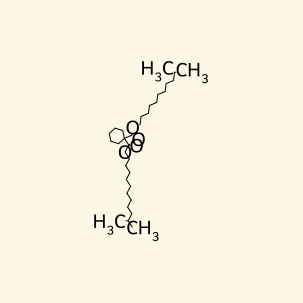 CC(C)CCCCCCCCCOC(=O)C1(C(=O)OCCCCCCCCCC(C)C)CCCCC1